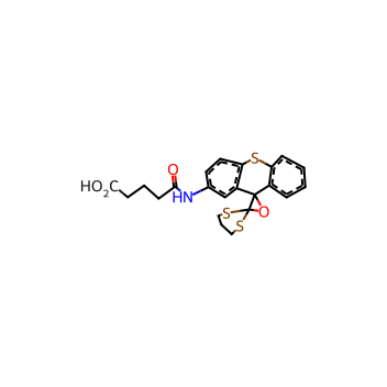 O=C(O)CCCC(=O)Nc1ccc2c(c1)C1(OC13SCCCS3)c1ccccc1S2